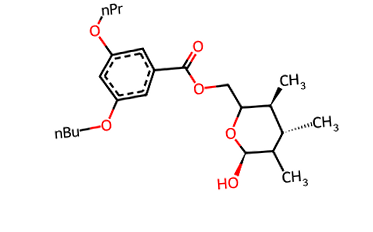 CCCCOc1cc(OCCC)cc(C(=O)OCC2O[C@H](O)C(C)[C@@H](C)[C@@H]2C)c1